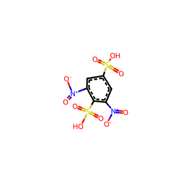 O=[N+]([O-])c1cc(S(=O)(=O)O)cc([N+](=O)[O-])c1S(=O)(=O)O